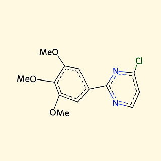 COc1cc(-c2nccc(Cl)n2)cc(OC)c1OC